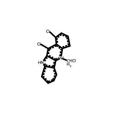 C[n+]1c2cccc(Cl)c2c(Cl)c2[nH]c3ccccc3c21.Cl